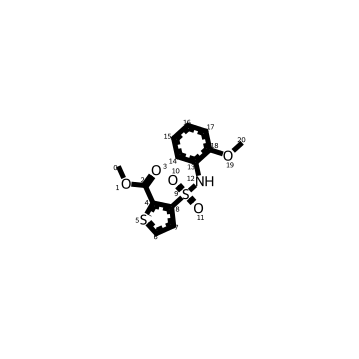 COC(=O)c1sccc1S(=O)(=O)Nc1ccccc1OC